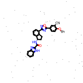 CC(C)Oc1ccc(-c2nc(-c3cccc4c3CC[C@@H]4NC(=O)c3nc4ccccc4[nH]3)no2)cc1C#N